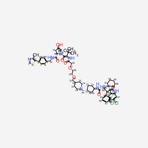 Cc1ncsc1-c1ccc(CNC(=O)[C@@H]2C[C@@H](O)CN2C(=O)[C@@H](NC(=O)COCCOCC2CCN(C[C@H]3CC[C@H](NC(=O)[C@@H]4NC5(CCCCC5)[C@@]5(C(=O)Nc6cc(Cl)ccc65)[C@H]4c4cccc(Cl)c4F)CC3)CC2)C(C)(C)C)cc1